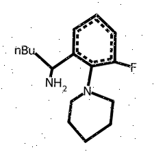 CCCCC(N)c1cccc(F)c1N1CCCCC1